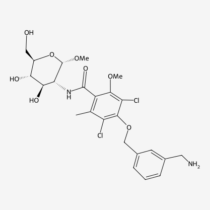 COc1c(Cl)c(OCc2cccc(CN)c2)c(Cl)c(C)c1C(=O)N[C@H]1[C@@H](OC)O[C@H](CO)[C@@H](O)[C@@H]1O